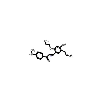 C=CCc1cc(/C=C/C(=O)c2ccc(NC)cc2)c(OCCC)cc1O